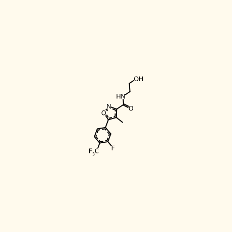 Cc1c(C(=O)NCCO)noc1-c1ccc(C(F)(F)F)c(F)c1